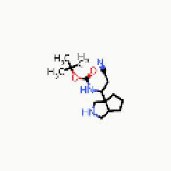 CC(C)(C)OC(=O)NC(CC#N)C12CCCC1CNC2